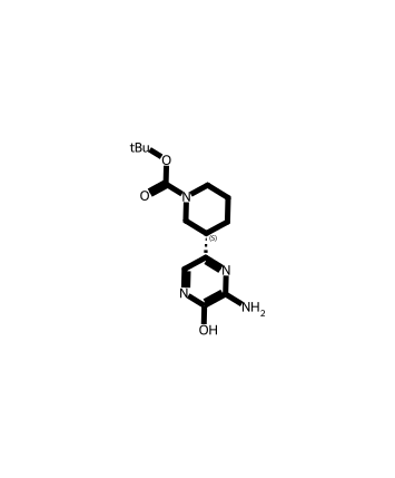 CC(C)(C)OC(=O)N1CCC[C@H](c2cnc(O)c(N)n2)C1